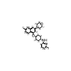 Cc1nccc(N[C@H]2CC[C@@H](Oc3cc(N4CCOCC4)cc4nc(C)ncc34)CC2)n1